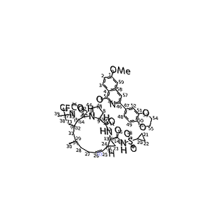 COc1ccc2c(O[C@@H]3C[C@H]4C(=O)N[C@]5(C(=O)NS(=O)(=O)C6CC6)C[C@H]5/C=C\CC[C@@H](C)C[C@@H](C)[C@H](N(C(=O)O)C(C)(C)C(F)(F)F)C(=O)N4C3)nc(-c3ccc4c(c3)OCCO4)cc2c1